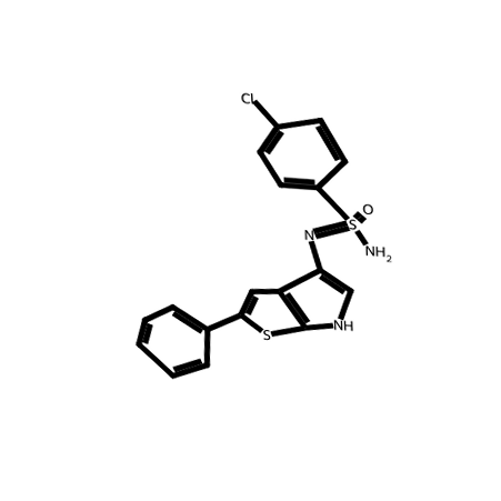 NS(=O)(=Nc1c[nH]c2sc(-c3ccccc3)cc12)c1ccc(Cl)cc1